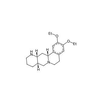 CCOc1cc2c(cc1OCC)[C@H]1C[C@H]3NCCC[C@H]3CN1CC2